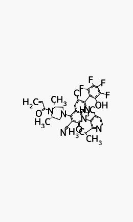 C=CC(=O)N1[C@H](C)CN(c2c(C#N)c(=O)n(-c3c(C)ccnc3C(C)C)c3nc(-c4c(O)c(F)c(F)c(F)c4F)c(Cl)cc23)C[C@@H]1C